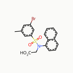 Cc1cc(Br)cc(S(=O)(=O)N(CC(=O)O)c2cccc3ccccc23)c1